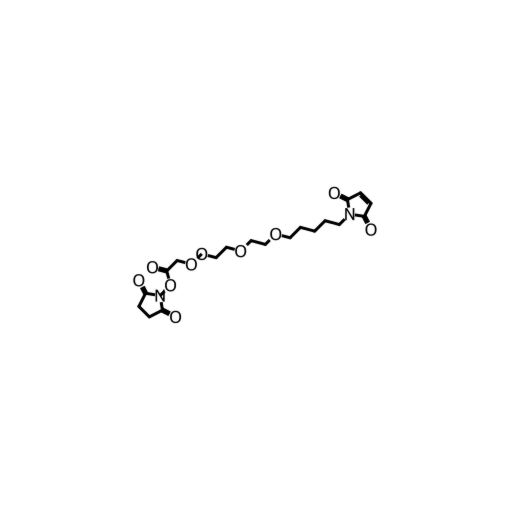 O=C(COOCCOCCOCCCCCN1C(=O)C=CC1=O)ON1C(=O)CCC1=O